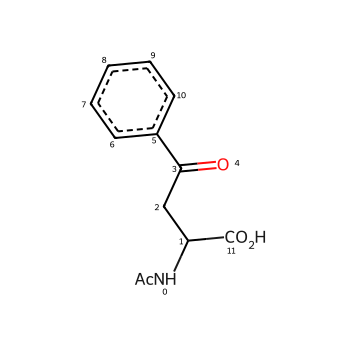 CC(=O)NC(CC(=O)c1ccccc1)C(=O)O